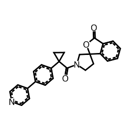 O=C1OC2(CCN(C(=O)C3(c4ccc(-c5ccncc5)cc4)CC3)C2)c2ccccc21